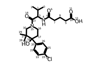 CC(C)C(NC(=O)CCCC(=O)O)C(=O)N1CCC(O)(c2ccc(Cl)cc2)C(C)(C)C1